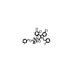 CCc1ccc2c(c1)c(-c1ccc[nH]c1=O)c(C(=O)NS(=O)(=O)C1(COCc3ccccc3)CC1)n2Cc1ccccc1F